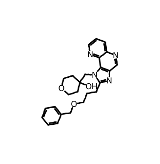 OC1(Cn2c(CCCOCc3ccccc3)nc3cnc4cccnc4c32)CCOCC1